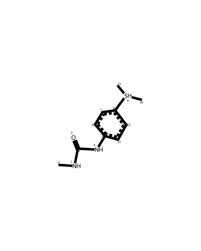 CNC(=O)Nc1ccc([SH](C)C)cc1